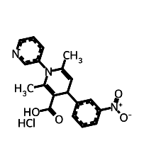 CC1=CC(c2cccc([N+](=O)[O-])c2)C(C(=O)O)=C(C)N1c1cccnc1.Cl